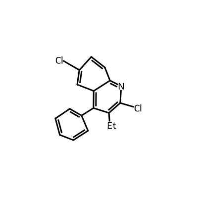 CCc1c(Cl)nc2ccc(Cl)cc2c1-c1ccccc1